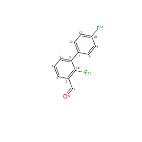 O=[C]c1cccc(-c2ccc(F)cc2)c1F